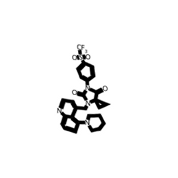 O=C1N(c2ccc(S(=O)(=O)C(F)(F)F)cc2)C(=O)C2(CC2)N1Cc1ccnc2cccc(N3CCCCC3)c12